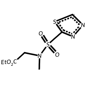 CCOC(=O)CN(C)S(=O)(=O)c1nn[c]s1